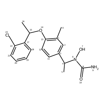 Cc1cc(C(C)N(O)C(N)=O)ccc1OC(C)c1ccccc1Cl